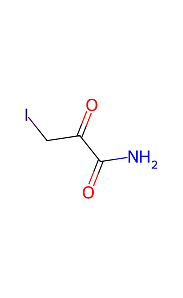 NC(=O)C(=O)CI